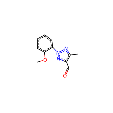 COc1ccccc1-n1nc(C)c(C=O)n1